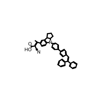 C/C(=C(/C#N)C(=O)O)c1ccc2c(c1)C1CCCC1N2c1ccc(-c2ccc(C=C(c3ccccc3)c3ccccc3)cc2)cc1